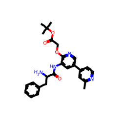 Cc1cc(-c2cnc(OCC(=O)OC(C)(C)C)c(NC(=O)C(N)Cc3ccccc3)c2)ccn1